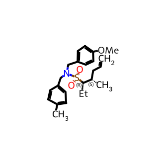 C=CC[C@H](C)[C@@H](CC)S(=O)(=O)N(Cc1ccc(C)cc1)Cc1ccc(OC)cc1